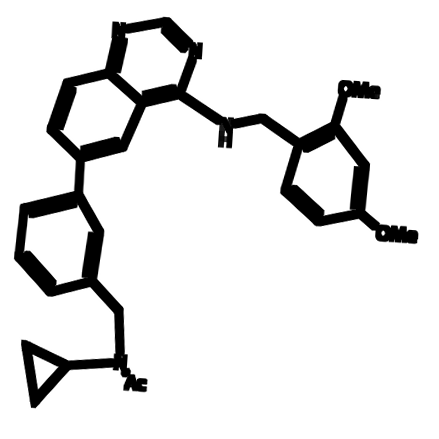 COc1ccc(CNc2ncnc3ccc(-c4cccc(CN(C(C)=O)C5CC5)c4)cc23)c(OC)c1